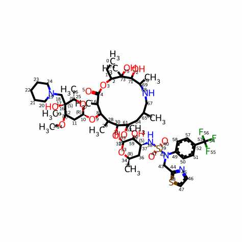 CCC1OC(=O)C(C)C(O[C@H]2C[C@@](C)(OC)[C@](O)(CN3CCCCC3)[C@H](C)O2)C(C)C(O[C@@H]2O[C@H](C)C[C@H](NS(=O)(=O)N(Cc3nccs3)c3ccc(C(F)(F)F)cc3)[C@H]2O)C(C)(O)CC(C)CNC(C)C(O)C1(C)O